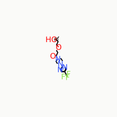 C[C@H](O)CCOCCC(=O)N1CCN(c2ncc(C(F)(F)F)cn2)CC1